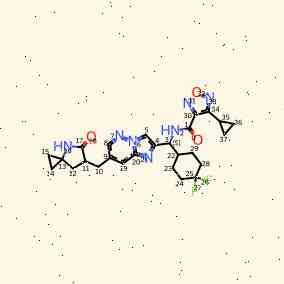 O=C(N[C@H](c1cn2ncc(CC3CC4(CC4)NC3=O)cc2n1)C1CCC(F)(F)CC1)c1nonc1C1CC1